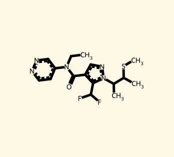 CCN(C(=O)c1cnn(C(C)C(C)SC)c1C(F)F)c1ccnnc1